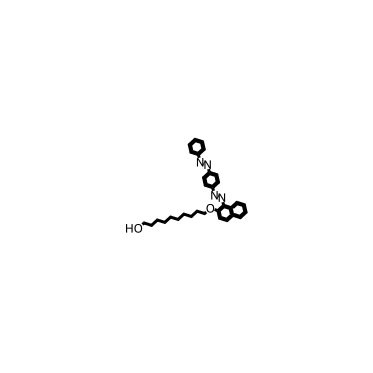 OCCCCCCCCCCOc1ccc2ccccc2c1/N=N/c1ccc(/N=N/c2ccccc2)cc1